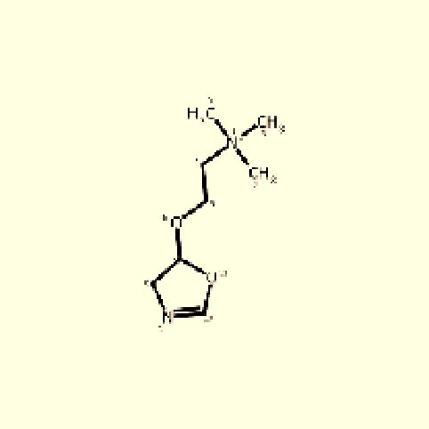 C[N+](C)(C)CCOC1CN=CO1